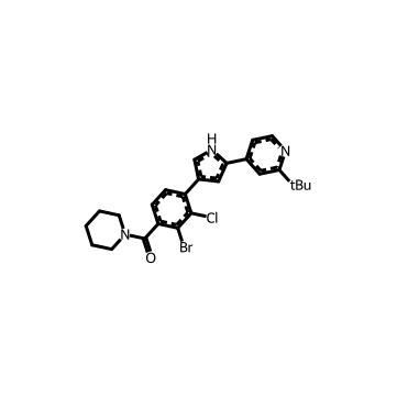 CC(C)(C)c1cc(-c2cc(-c3ccc(C(=O)N4CCCCC4)c(Br)c3Cl)c[nH]2)ccn1